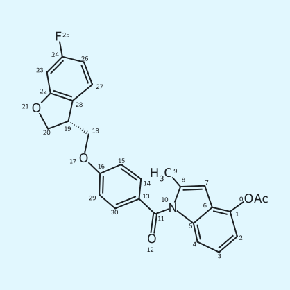 CC(=O)Oc1cccc2c1cc(C)n2C(=O)c1ccc(OC[C@@H]2COc3cc(F)ccc32)cc1